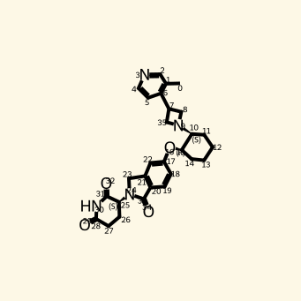 Cc1cnccc1C1CN([C@H]2CCCC[C@H]2Oc2ccc3c(c2)CN([C@H]2CCC(=O)NC2=O)C3=O)C1